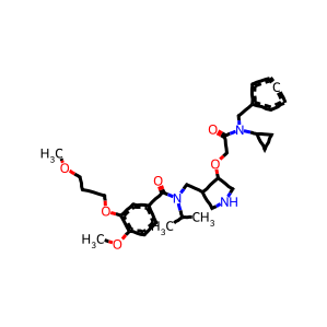 COCCCOc1cc(C(=O)N(CC2CNCC2OCC(=O)N(Cc2ccccc2)C2CC2)C(C)C)ccc1OC